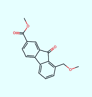 COCc1cccc2c1C(=O)c1cc(C(=O)OC)ccc1-2